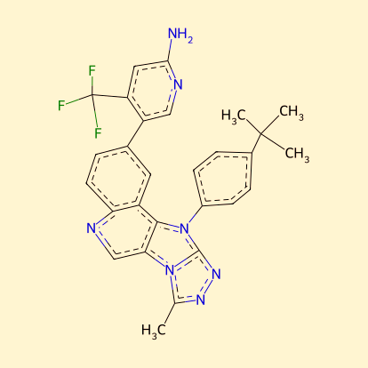 Cc1nnc2n(-c3ccc(C(C)(C)C)cc3)c3c4cc(-c5cnc(N)cc5C(F)(F)F)ccc4ncc3n12